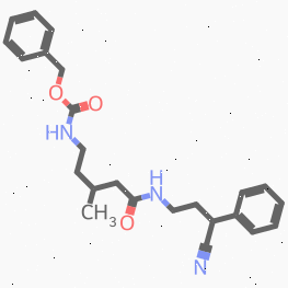 CC(CCNC(=O)OCc1ccccc1)CC(=O)NCCC(C#N)c1ccccc1